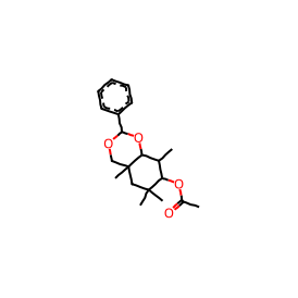 CC(=O)OC1C(C)C2OC(c3ccccc3)OCC2(C)CC1(C)C